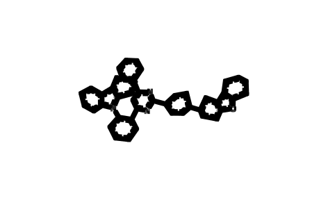 c1ccc(-c2cc(-c3ccccc3-n3c4ccccc4c4ccccc43)nc(-c3ccc(-c4ccc5oc6ccccc6c5c4)cc3)n2)cc1